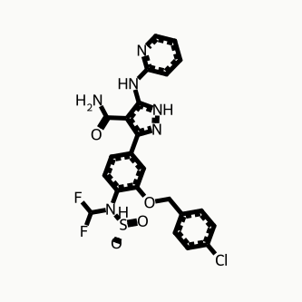 NC(=O)c1c(-c2ccc(N(C(F)F)[SH](=O)=O)c(OCc3ccc(Cl)cc3)c2)n[nH]c1Nc1ccccn1